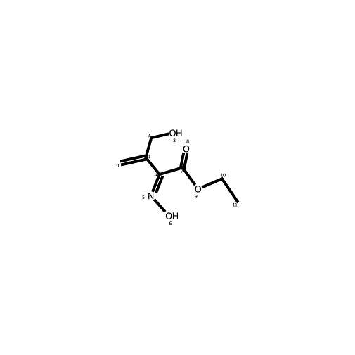 C=C(CO)C(=NO)C(=O)OCC